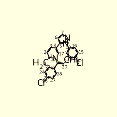 C=C1C=CC(c2ccnn2-c2ccc(Cl)cc2)=CN1/C(=C\C)c1ccc(Cl)cc1